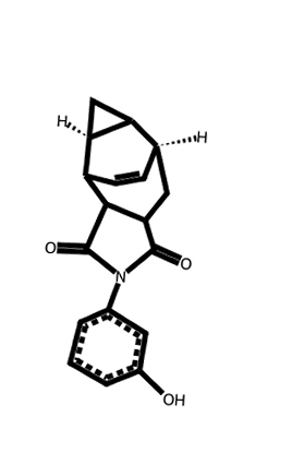 O=C1C2C[C@H]3C=CC(C2C(=O)N1c1cccc(O)c1)[C@H]1CC13